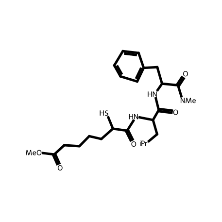 CNC(=O)C(Cc1ccccc1)NC(=O)C(CC(C)C)NC(=O)C(S)CCCCC(=O)OC